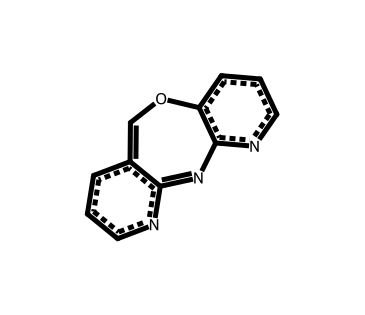 C1=c2cccnc2=Nc2ncccc2O1